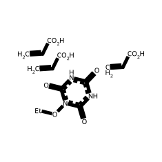 C=CC(=O)O.C=CC(=O)O.C=CC(=O)O.CCOn1c(=O)[nH]c(=O)[nH]c1=O